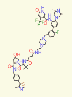 Cc1ncsc1-c1ccc(CNC(=O)[C@@H]2C[C@@H](O)CN2C(=O)[C@@H](NC(=O)CCC(=O)NCCN2CCN(Cc3ccc(F)c(-c4ccc(N5C[C@@H](C)N(C)[C@@H](C)C5)c(NC(=O)c5c[nH]c(=O)cc5C(F)(F)F)c4)c3)CC2)C(C)(C)C)cc1